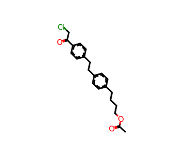 CC(=O)OCCCCc1ccc(CCc2ccc(C(=O)CCl)cc2)cc1